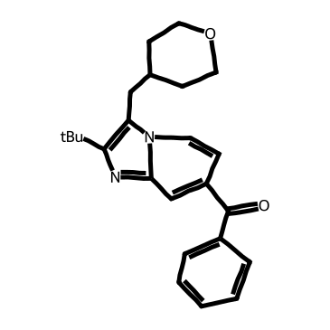 CC(C)(C)c1nc2cc(C(=O)c3ccccc3)ccn2c1CC1CCOCC1